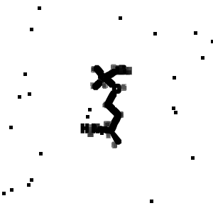 C[C@@H](N)CCO[Si](C)(C)C(C)(C)C